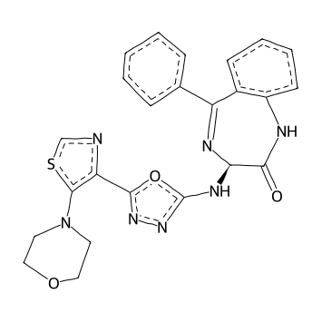 O=C1Nc2ccccc2C(c2ccccc2)=N[C@@H]1Nc1nnc(-c2ncsc2N2CCOCC2)o1